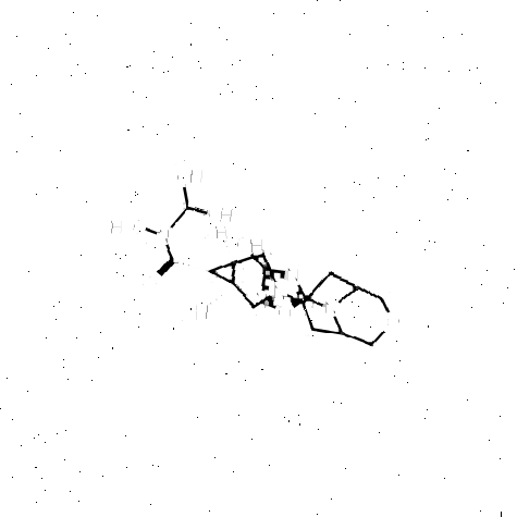 Cc1noc(N2C3COCC2CC(N2C[C@@H]4[C@H](C2)[C@H]4C(=O)N(C)C(C)C)C3)n1